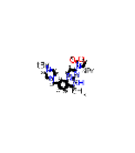 CC(C)[C@H]1COC(=O)N1c1ccnc(N[C@@H](C)c2ccc(CN3CCN(C(C)(C)C)CC3)cc2)n1